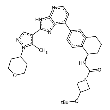 Cc1c(-c2nc3c(-c4ccc5c(c4)CCC[C@H]5NC(=O)N4CC(OC(C)(C)C)C4)ccnc3[nH]2)cnn1C1CCOCC1